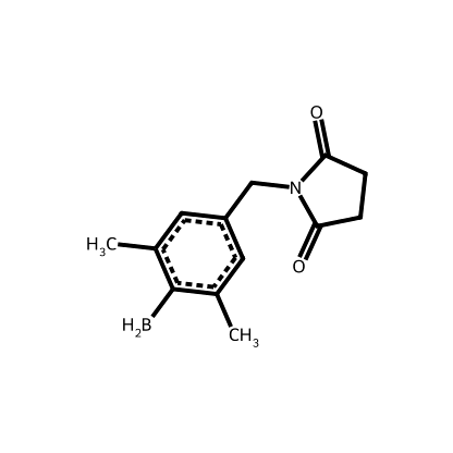 Bc1c(C)cc(CN2C(=O)CCC2=O)cc1C